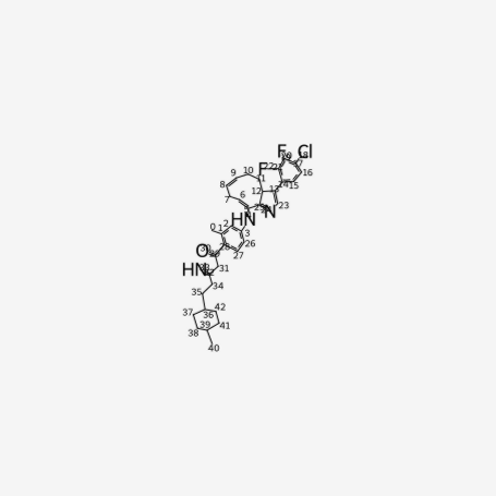 Cc1cc(N/C2=C\C/C=C\CCC3C(c4ccc(Cl)c(F)c4F)=CN=C23)ccc1C(=O)CC(=N)CCC1CCC(C)CC1